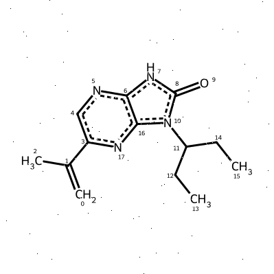 C=C(C)c1cnc2[nH]c(=O)n(C(CC)CC)c2n1